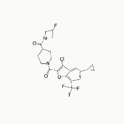 O=C(c1oc2c(C(F)(F)F)cc(C3CC3)cc2c1Cl)N1CCC(C(=O)N2CC(F)C2)CC1